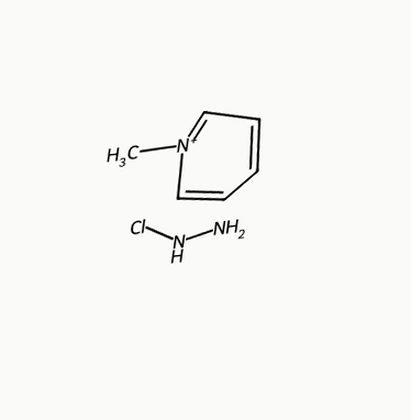 C[n+]1ccccc1.NNCl